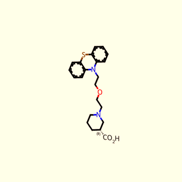 O=C(O)[C@@H]1CCCN(CCOCCN2c3ccccc3Sc3ccccc32)C1